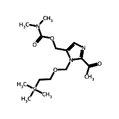 CC(=O)c1ncc(COC(=O)N(C)C)n1COCC[Si](C)(C)C